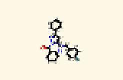 O=C(c1ccccc1)n1nc(-c2ccccc2)cc1NCc1ccc(F)cc1